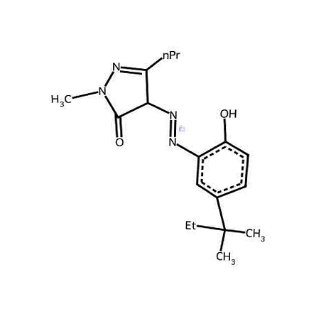 CCCC1=NN(C)C(=O)C1/N=N/c1cc(C(C)(C)CC)ccc1O